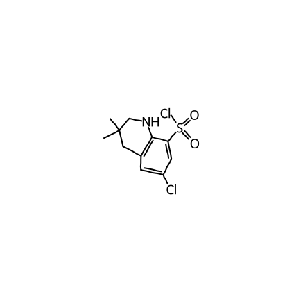 CC1(C)CNc2c(cc(Cl)cc2S(=O)(=O)Cl)C1